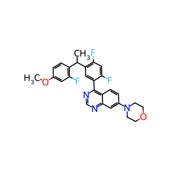 COc1ccc(C(C)c2cc(-c3ncnc4cc(N5CCOCC5)ccc34)c(F)cc2F)c(F)c1